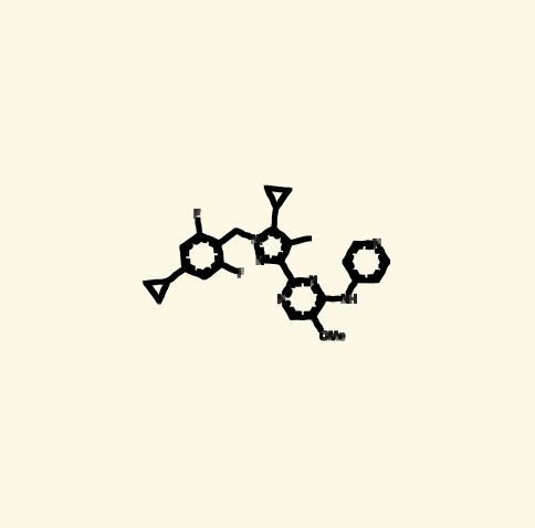 COc1cnc(-c2nn(Cc3c(F)cc(C4CC4)cc3F)c(C3CC3)c2C)nc1Nc1ccncc1